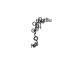 CC(C)(C)OC(=O)N[C@H](C(=O)OCOC(=O)/C=C/c1ccc(Cn2ccnc2)cc1)C(C)(C)C